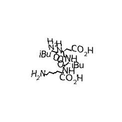 CC[C@H](C)[C@H](N)C(=O)N[C@@H](CCC(=O)O)C(=O)N[C@H](C(=O)N[C@@H](CCCCN)C(=O)O)[C@@H](C)CC